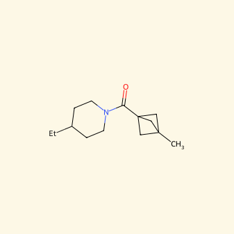 CCC1CCN(C(=O)C23CC(C)(C2)C3)CC1